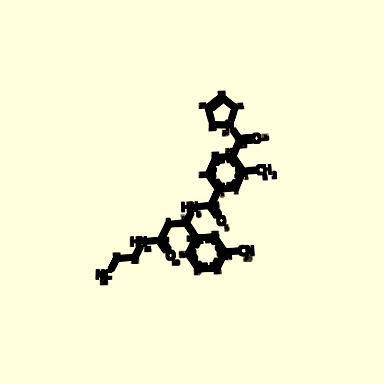 Cc1cc(C(=O)NC(CC(=O)NCCC#N)c2cccc(C#N)c2)ccc1C(=O)N1CC=CC1